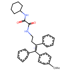 COc1ccc(/C(=C(/CCNC(=O)C(=O)NC2CCCCC2)c2ccccc2)c2ccccc2)cc1